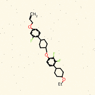 C=CCOc1ccc(C2CCC(COc3ccc(C4CCC(OCC)CC4)c(F)c3F)CC2)c(F)c1